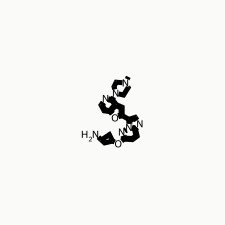 CN1CCN(c2nccc3oc(-c4cnc5ccc(OC6CC(N)C6)nn45)cc23)CC1